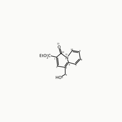 CCOC(=O)c1cc(CO)c2ccccn2c1=O